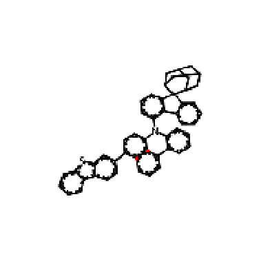 c1ccc(-c2ccccc2N(c2ccc(-c3ccc4c(c3)sc3ccccc34)cc2)c2cccc3c2-c2ccccc2C32C3CC4CC(C3)CC2C4)cc1